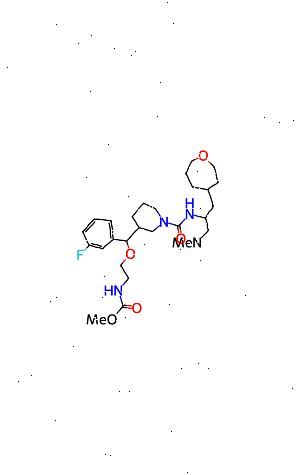 CNCC(CC1CCCOCC1)NC(=O)N1CCCC(C(OCCNC(=O)OC)c2cccc(F)c2)C1